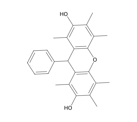 Cc1c(C)c2c(c(C)c1O)C(c1ccccc1)c1c(C)c(O)c(C)c(C)c1O2